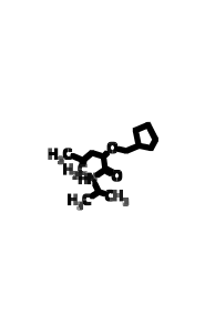 C=C(C)CC(OCC1CCCC1)C(=O)NC(C)C